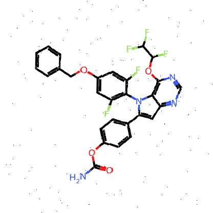 NC(=O)Oc1ccc(-c2cc3ncnc(OC(F)C(F)F)c3n2-c2c(F)cc(OCc3ccccc3)cc2F)cc1